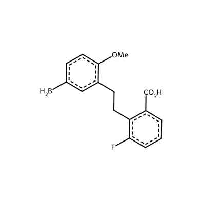 Bc1ccc(OC)c(CCc2c(F)cccc2C(=O)O)c1